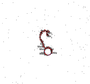 CO[C@H]1C[C@@H]2CC[C@@H](C)[C@@](O)(O2)C(=O)C(=O)N2CCCC[C@H]2C(=O)O[C@H]([C@H](C)C[C@@H]2CC[C@@H](OC(=O)NCc3cnc(N4CCN(CCOCCN5CCN(c6ncc(C(=O)N7CCc8cc(Cn9nc(-c%10ccc%11oc(N)nc%11c%10)c%10c(N)ncnc%109)ccc8C7)cn6)CC5)CC4)nc3)[C@H](OC)C2)C[C@@H](OC)[C@H](C)/C=C(\C)[C@@H](O)[C@@H](OC)C(=O)[C@H](C)C[C@H](C)/C=C/C=C/C=C/1C